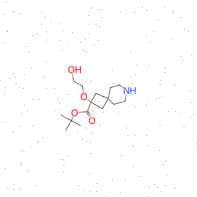 CC(C)(C)OC(=O)C1(OCCO)CC2(CCNCC2)C1